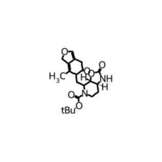 CC1=C2COC=C2CC(=O)C1CC1[C@@H]2OC(=O)N[C@H]2CCN1C(=O)OC(C)(C)C